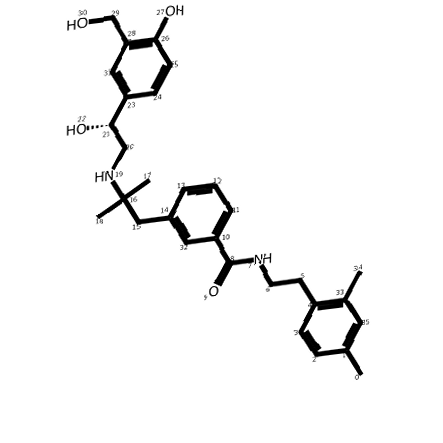 Cc1ccc(CCNC(=O)c2cccc(CC(C)(C)NC[C@H](O)c3ccc(O)c(CO)c3)c2)c(C)c1